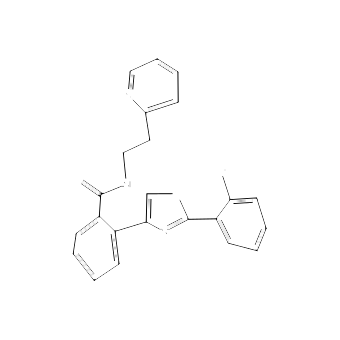 O=C(NCCc1ccccn1)c1ccccc1-c1csc(-c2ccccc2O)n1